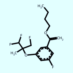 C=C(OCCCC)c1cc(F)cc(OC(C)(CF)C(F)F)c1